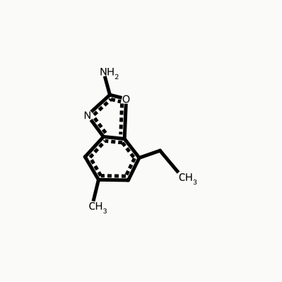 CCc1cc(C)cc2nc(N)oc12